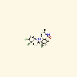 C=C(Nc1ccc(F)c(F)c1)c1c(F)ccc2c1CCC(C(C)C)N[S+]2[O-]